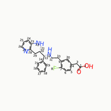 O=C(O)Cc1ccc(F)c(CCN[C@H](c2ccccc2)[C@H]2CNc3cccnc3C2)c1